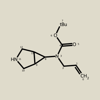 C=CCN(C(=O)OC(C)(C)C)C1C2CNCC21